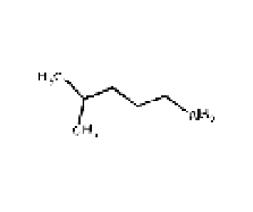 CC(C)CC[CH2][AlH2]